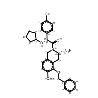 COc1ccc2c(c1OCc1ccccc1)C[C@@H](C(=O)O)N(C(=O)[C@H](OC1CCCC1)c1ccc(F)cc1)C2